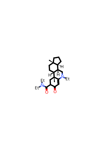 CCN(CC)C(=O)C1C[C@@]2(C)C(=CC1=O)N(CC)C[C@@H]1[C@H]2CC[C@]2(C)CCC[C@@H]12